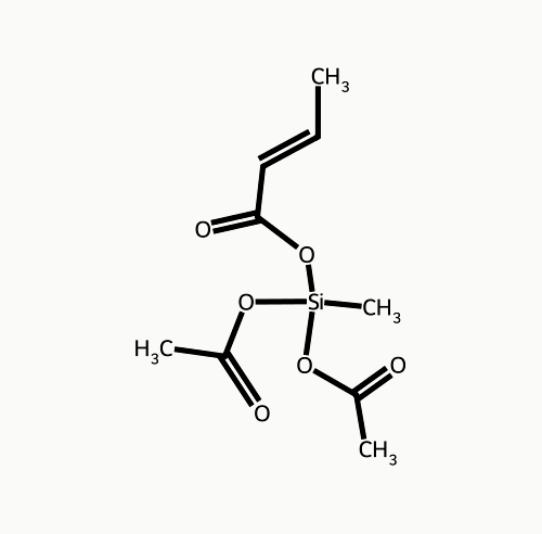 CC=CC(=O)O[Si](C)(OC(C)=O)OC(C)=O